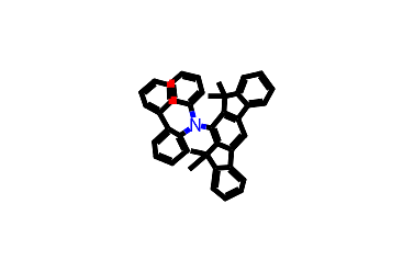 CC1(C)c2ccccc2-c2cc3c(c(N(c4ccccc4)c4ccccc4-c4ccccc4)c21)C(C)(C)c1ccccc1-3